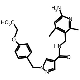 Cc1cc(N)nc(C)c1CNC(=O)c1cnn(Cc2ccc(OCC(=O)O)cc2)c1